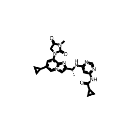 C[C@@H](Nc1cc(NC(=O)C2CC2)ncn1)c1cn2cc(C3CC3)cc(N3CC(=O)N(C)C3=O)c2n1